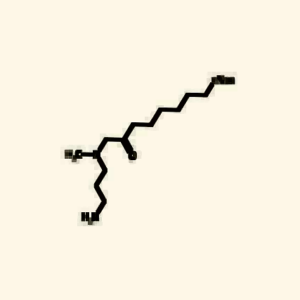 CCCCCCCCCCCCCCCC(=O)CN(C)CCCN